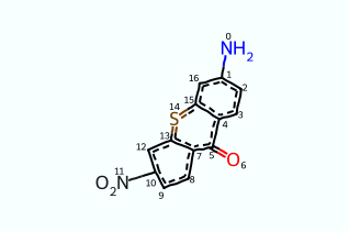 Nc1ccc2c(=O)c3ccc([N+](=O)[O-])cc3sc2c1